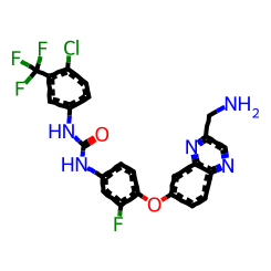 NCc1cnc2ccc(Oc3ccc(NC(=O)Nc4ccc(Cl)c(C(F)(F)F)c4)cc3F)cc2n1